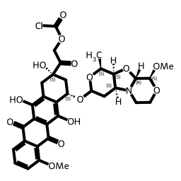 COc1cccc2c1C(=O)c1c(O)c3c(c(O)c1C2=O)C[C@@](O)(C(=O)COC(=O)Cl)C[C@@H]3OC1C[C@H]2[C@H](O[C@@H]3[C@@H](OC)OCCN32)[C@H](C)O1